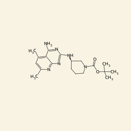 Cc1cc(C)c2c(N)nc(N[C@@H]3CCCN(C(=O)OC(C)(C)C)C3)nc2n1